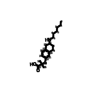 CCCCCCNC1CCc2cc(SC(C)(C)C(=O)O)ccc2C1